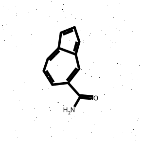 NC(=O)c1cccc2cccc-2c1